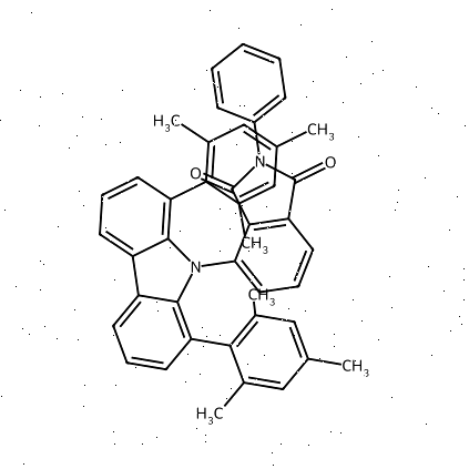 Cc1cc(C)c(-c2cccc3c4cccc(-c5c(C)cc(C)cc5C)c4n(-c4cccc5c4C(=O)N(c4ccccc4)C5=O)c23)c(C)c1